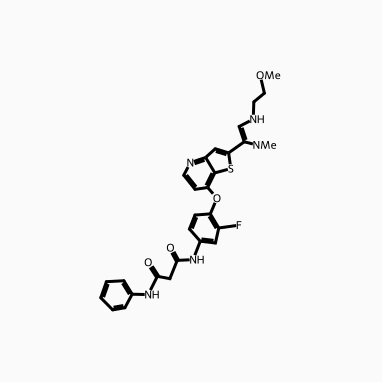 CN/C(=C\NCCOC)c1cc2nccc(Oc3ccc(NC(=O)CC(=O)Nc4ccccc4)cc3F)c2s1